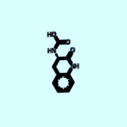 O=C(O)N[C@H]1Cc2ccccc2NC1=O